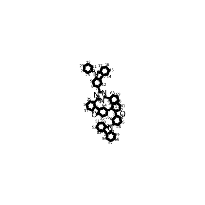 c1ccc(-c2nc(-c3ccc4c(c3)c3ccccc3n4-c3ccccc3)nc(-c3cccc4oc5ccc(-c6cccc7oc8ccc(-n9c%10ccccc%10c%10ccccc%109)cc8c67)cc5c34)n2)cc1